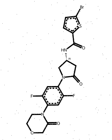 O=C(N[C@@H]1CC(=O)N(c2cc(F)c(N3CCOCC3=O)cc2F)C1)c1ccc(Br)s1